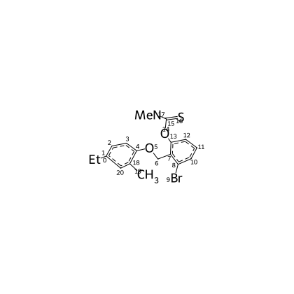 CCc1ccc(OCc2c(Br)cccc2OC(=S)NC)c(C)c1